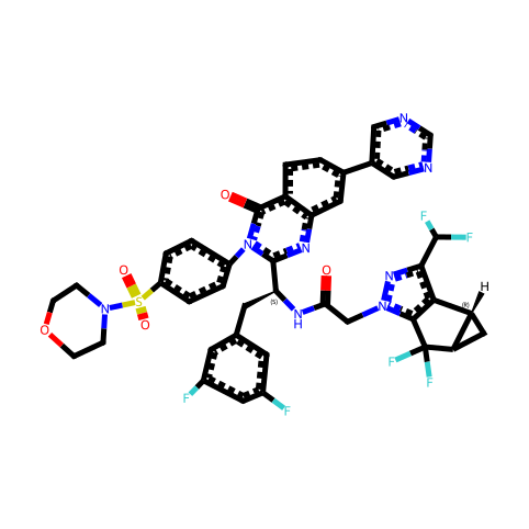 O=C(Cn1nc(C(F)F)c2c1C(F)(F)C1C[C@@H]21)N[C@@H](Cc1cc(F)cc(F)c1)c1nc2cc(-c3cncnc3)ccc2c(=O)n1-c1ccc(S(=O)(=O)N2CCOCC2)cc1